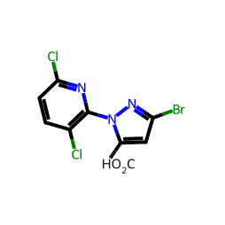 O=C(O)c1cc(Br)nn1-c1nc(Cl)ccc1Cl